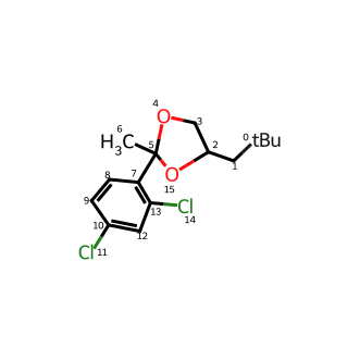 CC(C)(C)CC1COC(C)(c2ccc(Cl)cc2Cl)O1